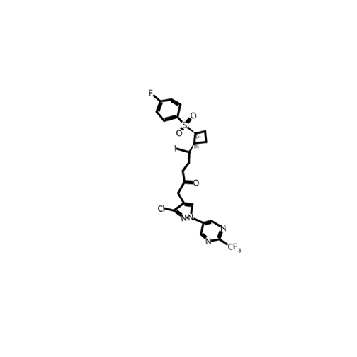 O=C(CCC(I)[C@@H]1CC[C@@H]1S(=O)(=O)c1ccc(F)cc1)Cc1cn(-c2cnc(C(F)(F)F)nc2)nc1Cl